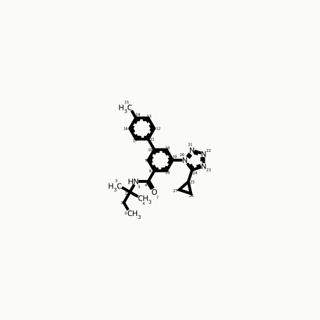 CCC(C)(C)NC(=O)c1cc(-c2ccc(C)cc2)cc(-n2nnnc2C2CC2)c1